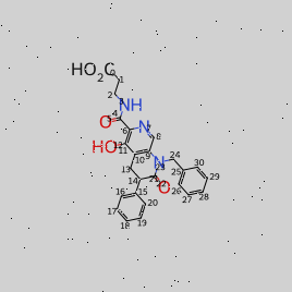 O=C(O)CCNC(=O)c1ncc2c(c1O)CC(c1ccccc1)C(=O)N2Cc1ccccc1